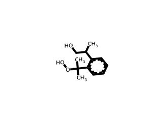 CC(CO)c1ccccc1C(C)(C)OO